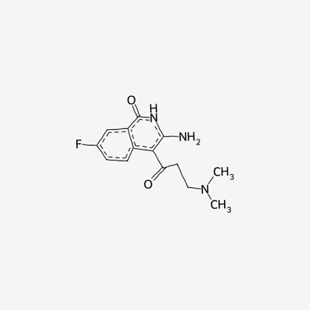 CN(C)CCC(=O)c1c(N)[nH]c(=O)c2cc(F)ccc12